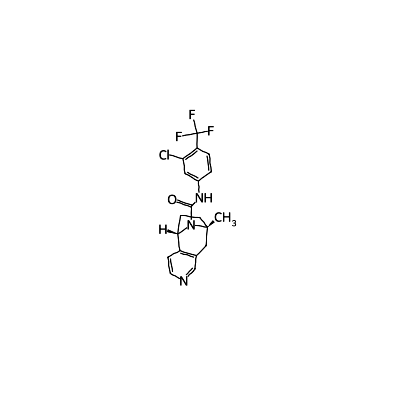 C[C@@]12CC[C@@H](c3ccncc3C1)N2C(=O)Nc1ccc(C(F)(F)F)c(Cl)c1